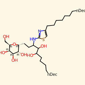 CCCCCCCCCCCCCCCCCc1csc(NC(CC[C@H]2O[C@H](CO)[C@H](O)[C@H](O)[C@H]2O)C(O)C(O)CCCCCCCCCCCCCC)n1